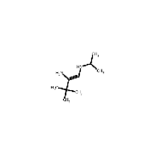 CC(C)N/C=C(\N)C(C)(C)C